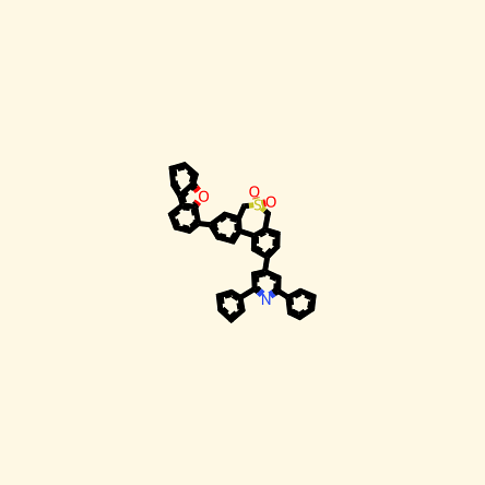 O=S1(=O)Cc2cc(-c3cccc4c3oc3ccccc34)ccc2-c2cc(-c3cc(-c4ccccc4)nc(-c4ccccc4)c3)ccc2C1